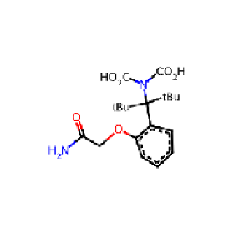 CC(C)(C)C(c1ccccc1OCC(N)=O)(N(C(=O)O)C(=O)O)C(C)(C)C